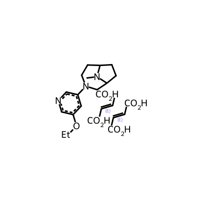 CCOc1cncc(N2CCC3CCC(C2)N3C)c1.O=C(O)/C=C/C(=O)O.O=C(O)/C=C/C(=O)O